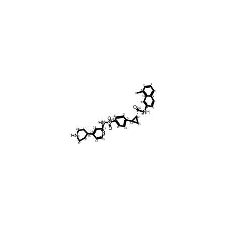 Cc1cccc2ccc(NC(=O)[C@@H]3CC3c3ccc(S(=O)(=O)Nc4cc(C5CCNCC5)ccn4)cc3)cc12